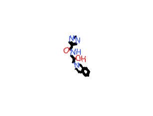 O=C(NC[C@H](O)CN1CCc2ccccc2C1)c1cncnc1